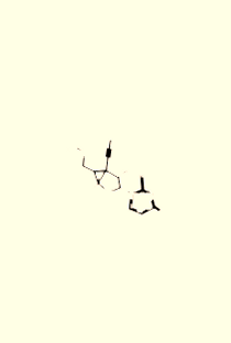 COCC1[C@H]2O[C@@H](n3ccc(=O)[nH]c3=O)[C@H](O)C12C#CF